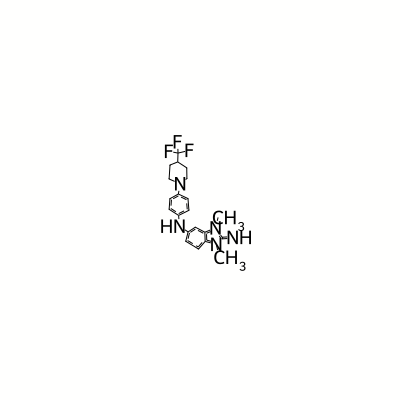 Cn1c(=N)n(C)c2cc(Nc3ccc(N4CCC(C(F)(F)F)CC4)cc3)ccc21